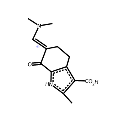 Cc1[nH]c2c(c1C(=O)O)CC/C(=C\N(C)C)C2=O